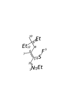 CC/N=C\C(SF)=C(/C)CC(C)(CC)CC